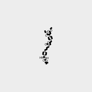 CCOC(=O)CC(C(=O)OCC)N1CCN(CC2CN(CCCCN3CCN(C(=N)NC(=O)OC(C)(C)C)CC3)C(=O)O2)CC1